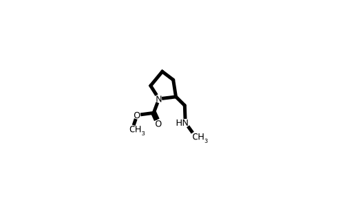 CNCC1CCCN1C(=O)OC